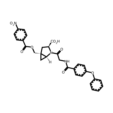 O=C(NCC(=O)N1[C@H]2C[C@@]2(COC(=O)c2ccc([N+](=O)[O-])cc2)C[C@H]1C(=O)O)c1ccc(Oc2ccccc2)cc1